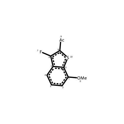 COc1cccc2c(F)c(C(C)=O)sc12